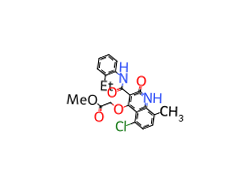 CCc1ccccc1NC(=O)c1c(OCC(=O)OC)c2c(Cl)ccc(C)c2[nH]c1=O